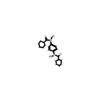 CC(C)N(C(=O)C1CCCCC1)c1ccc(N(C(=O)C2CCCCC2)C(C)C)cc1